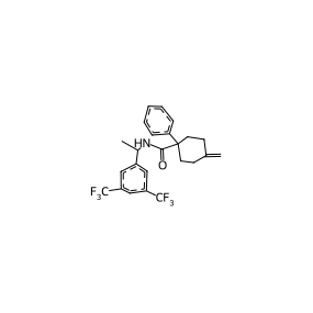 C=C1CCC(C(=O)NC(C)c2cc(C(F)(F)F)cc(C(F)(F)F)c2)(c2ccccc2)CC1